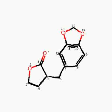 O=C1OCC[C@@H]1Cc1ccc2c(c1)OCO2